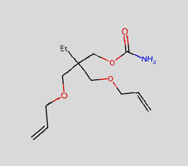 C=CCOCC(CC)(COCC=C)COC(N)=O